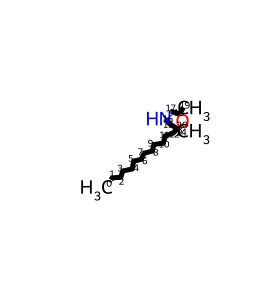 CCCCCCCCCCCCCC1(C)CNCC(C)O1